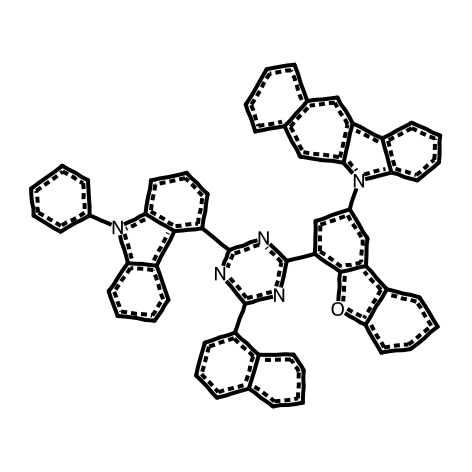 c1ccc(-n2c3ccccc3c3c(-c4nc(-c5cccc6ccccc56)nc(-c5cc(-n6c7ccccc7c7cc8ccccc8cc76)cc6c5oc5ccccc56)n4)cccc32)cc1